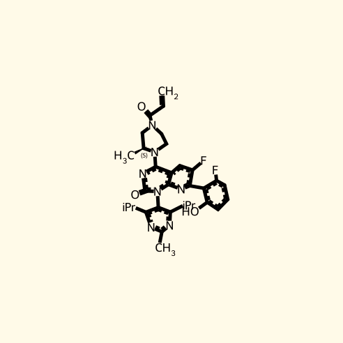 C=CC(=O)N1CCN(c2nc(=O)n(-c3c(C(C)C)nc(C)nc3C(C)C)c3nc(-c4c(O)cccc4F)c(F)cc23)[C@@H](C)C1